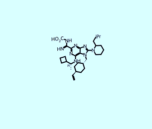 C=C[C@H]1CC[C@H](Cn2c(N3CCCCC3CC(C)C)nc3nc(C(=N)NC(=O)O)nc(N[C@H](C)C4CCC4)c32)CC1